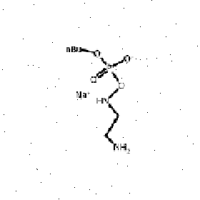 CCCCOP(=O)([O-])ONCCN.[Na+]